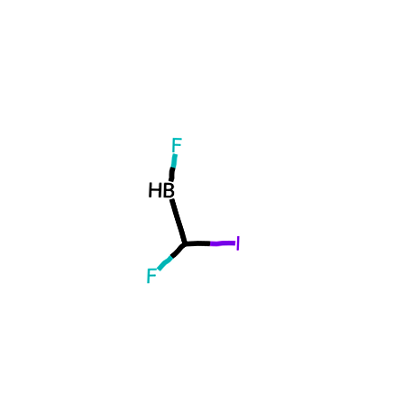 FBC(F)I